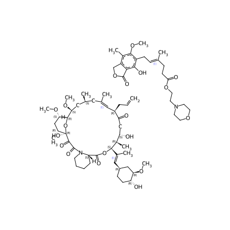 C=CC[C@@H]1/C=C(\C)C[C@H](C)C[C@H](OC)[C@H]2O[C@@](O)(C(=O)C(=O)N3CCCC[C@H]3C(=O)O[C@H](/C(C)=C/[C@@H]3CC[C@@H](O)[C@H](OC)C3)[C@H](C)[C@@H](O)CC1=O)[C@H](C)C[C@@H]2OC.COc1c(C)c2c(c(O)c1C/C=C(\C)CCC(=O)OCCN1CCOCC1)C(=O)OC2